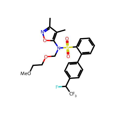 COCCOCN(c1onc(C)c1C)S(=O)(=O)c1ccccc1-c1ccc(C(F)C(F)(F)F)cc1